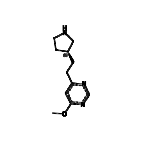 COc1cc(CC[C@H]2CCNC2)ncn1